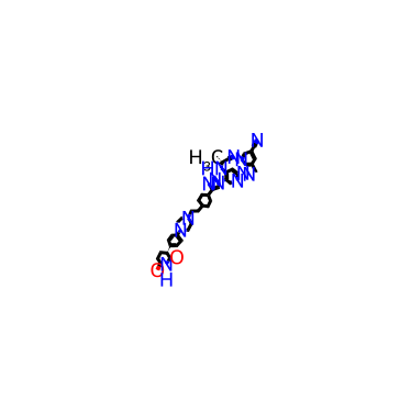 C[C@H](C#N)Nc1cc(-n2ncc3cc(C#N)cnc32)ncc1-n1cc(C2CCC(CCN3CCN(c4ccc([C@H]5CCC(=O)NC5=O)cc4)CC3)CC2)nn1